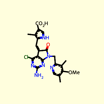 COc1c(C)cnc(CN2C(=O)C(=Cc3[nH]cc(C(=O)O)c3C)c3c(Cl)nc(N)nc32)c1C